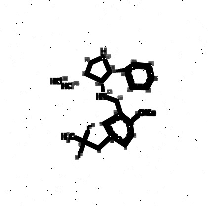 COc1ccc(CC(C)(F)F)cc1CN[C@@H]1CCN[C@@H]1c1ccccc1.Cl.Cl